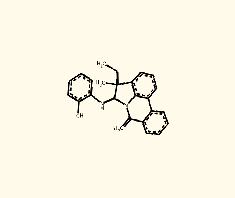 C=C1c2ccccc2-c2cccc3c2N1C(Nc1ccccc1C)C3(C)CC